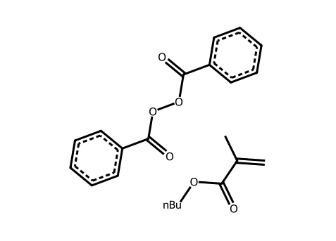 C=C(C)C(=O)OCCCC.O=C(OOC(=O)c1ccccc1)c1ccccc1